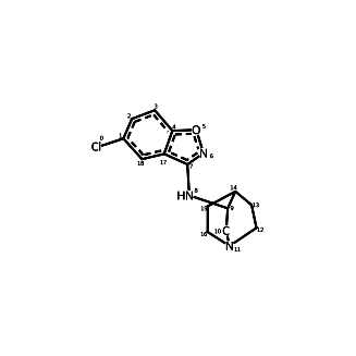 Clc1ccc2onc(NC3CN4CCC3CC4)c2c1